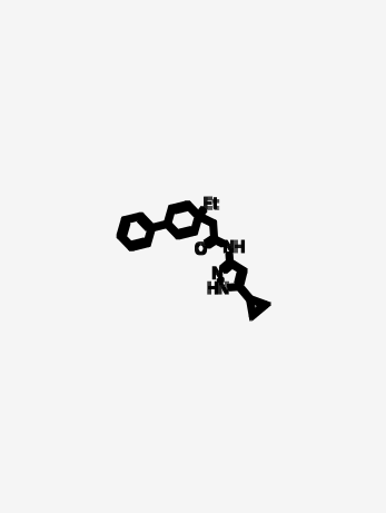 CCC1(CC(=O)Nc2cc(C3CC3)[nH]n2)C=CC(c2ccccc2)C=C1